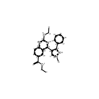 C=C(OCC)c1ccc2nc(OCC)nc(-c3cn(C)nc3-c3ccccc3)c2c1